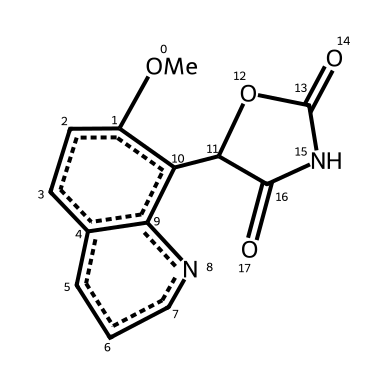 COc1ccc2cccnc2c1C1OC(=O)NC1=O